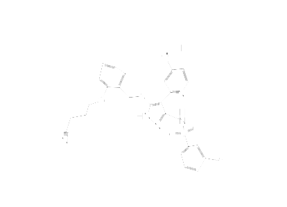 COc1ccnc(-c2c(NS(=O)(=O)c3cccc(Br)c3)n[nH]c2SCc2ccccc2OCCCC#N)c1